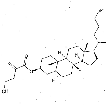 C=C(CCO)C(=O)O[C@H]1CC[C@@]2(C)[C@@H](CC[C@@H]3[C@@H]2CC[C@]2(C)[C@@H]([C@H](C)CCCC(C)C)CC[C@@H]32)C1